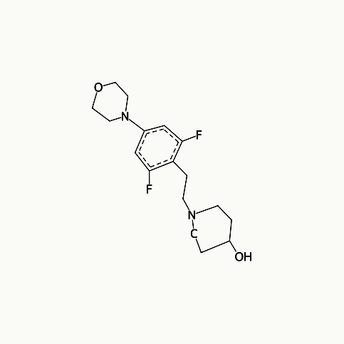 OC1CCN(CCc2c(F)cc(N3CCOCC3)cc2F)CC1